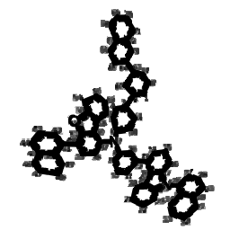 c1cc(-c2ccc(N(c3cccc(-c4cccc5c4c4ccccc4n5-c4cccc5ccccc45)c3)c3ccc(-c4cccc5ccccc45)c4oc5ccccc5c34)cc2)cc(-c2ccc3ccccc3c2)c1